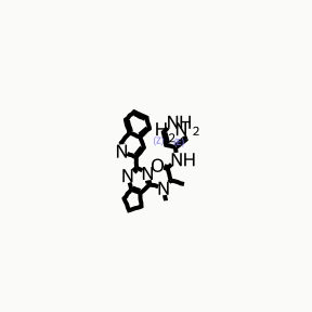 CC(C(=O)NC(/C=C\N)=C/N)N(C)c1nc(-c2cc3ccccc3cn2)nc2c1CCC2